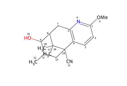 COc1ccc2c(n1)CC1C(O)C(C)CC2(C#N)C1(C)C